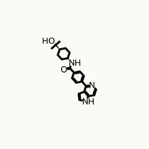 CC(C)(O)[C@H]1CC[C@H](NC(=O)c2ccc(-c3nccc4[nH]ccc34)cc2)CC1